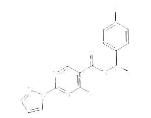 C[C@@H](NC(=O)c1cnc(-n2cccn2)nc1O)c1ccc(F)cc1